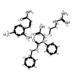 Cc1ccc(/C=C\C(N)=O)c(O)c1.N=C(N)NCCC[C@@H](C(=O)O)N(C(=O)OCc1ccccc1)c1ccccc1